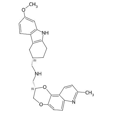 COc1ccc2c3c([nH]c2c1)CC[C@H](CNC[C@H]1COc2ccc4nc(C)ccc4c2O1)C3